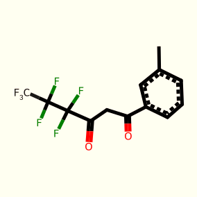 Cc1cccc(C(=O)CC(=O)C(F)(F)C(F)(F)C(F)(F)F)c1